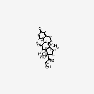 CC12CCC3=CC(=O)C=C[C@]3(C)C1C(=O)C[C@@]1(C)C2CCC1(O)C(=O)CO